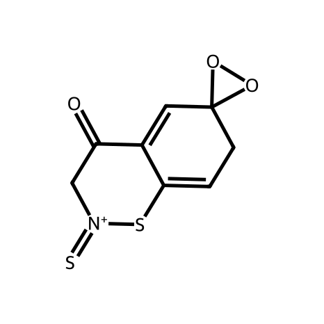 O=C1C[N+](=S)SC2=CCC3(C=C12)OO3